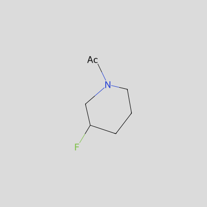 CC(=O)N1CCCC(F)C1